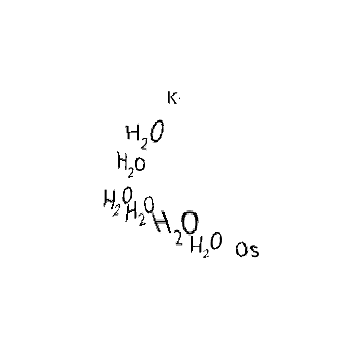 O.O.O.O.O.O.[K].[Os]